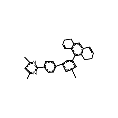 Cc1cc(-c2ccc(-c3nc(C)cc(C)n3)cc2)cc(-c2c3c(cc4c2CCC=C4)CCC=C3)c1